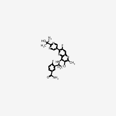 Cc1nc2cc(F)c(-c3cnc(C(C)(C)O)nc3)nc2c(NC(C)c2cc(C(N)=O)ccc2F)c1Cl